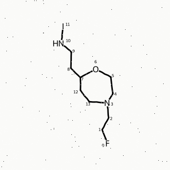 FCCN1CCOC(CCNI)CC1